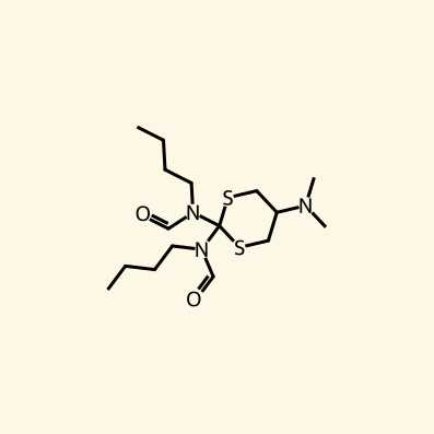 CCCCN(C=O)C1(N(C=O)CCCC)SCC(N(C)C)CS1